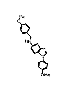 COc1ccc(-n2cnc3cc(NCc4ccc(OC(C)(C)C)cc4)ccc32)cc1